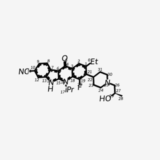 CCc1cc2c(=O)c3c4ccc(C#N)cc4[nH]c3n(C(C)C)c2c(F)c1C1CCN(C[C@@H](C)O)CC1